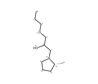 CCCOCC(O)CN1CCC[C@H]1C